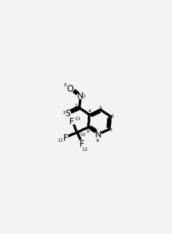 O=NC(=S)c1cccnc1C(F)(F)F